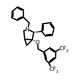 FC(F)(F)c1cc(CO[C@]23CC2CN(Cc2ccccc2)[C@H]3c2ccccc2)cc(C(F)(F)F)c1